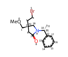 COC[C@]1(CCBr)CC(=O)N([C@H](C)c2ccccc2)C1